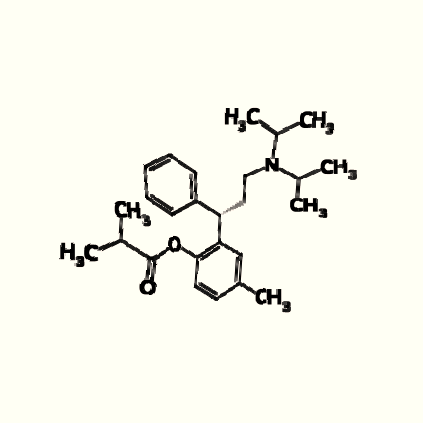 Cc1ccc(OC(=O)C(C)C)c([C@@H](CCN(C(C)C)C(C)C)c2ccccc2)c1